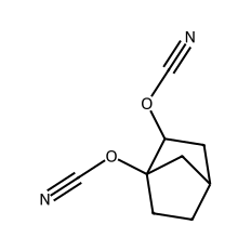 N#COC1CC2CCC1(OC#N)C2